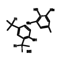 CCC(C)(C)c1ccc(O)c(C(C)(C)CC)c1.Cc1cc(C(C)(C)C)c(O)c(C(C)(C)C)c1.Cl